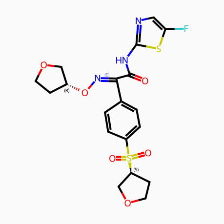 O=C(Nc1ncc(F)s1)/C(=N/O[C@@H]1CCOC1)c1ccc(S(=O)(=O)[C@H]2CCOC2)cc1